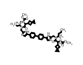 CCC[C@H](C)N(Cc1ncc(-c2ccc(-c3ccc(-c4cnc(CN(C(=O)C(NC(=O)OC)C5CC6(CC6)C5)[C@@H](C)CC)[nH]4)cc3)cc2)[nH]1)C(=O)C(NC(=O)OC)C1CC2(CC2)C1